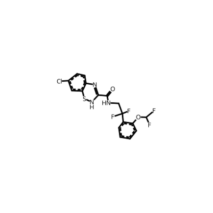 O=C(NCC(F)(F)c1ccccc1OC(F)F)C1=Nc2ccc(Cl)cc2SN1